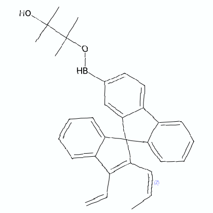 C=CC1=C(/C=C\C)C2(c3ccccc31)c1ccccc1-c1ccc(BOC(C)(C)C(C)(C)O)cc12